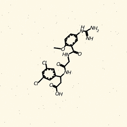 COc1ccc(NC(=N)N)cc1C(=O)NCC(=O)NC(CC(=O)O)c1cc(Cl)cc(Cl)c1